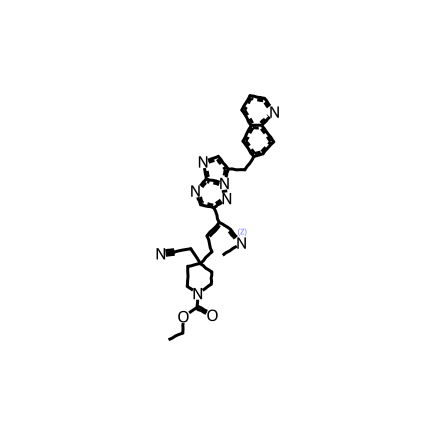 CCOC(=O)N1CCC(CC#N)(CC=C(/C=N\C)c2cnc3ncc(Cc4ccc5ncccc5c4)n3n2)CC1